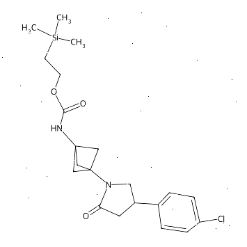 C[Si](C)(C)CCOC(=O)NC12CC(N3CC(c4ccc(Cl)cc4)CC3=O)(C1)C2